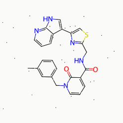 Cc1cccc(Cn2cccc(C(=O)NCc3nc(-c4c[nH]c5ncccc45)cs3)c2=O)c1